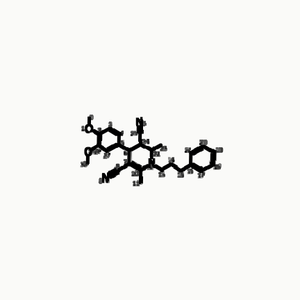 COc1ccc(C2C(C#N)=C(C)N(CCCc3ccccc3)C(C)C2C#N)cc1OC